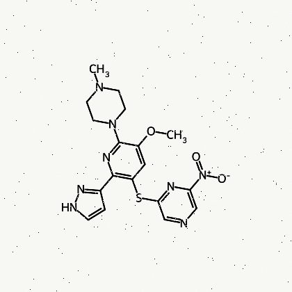 COc1cc(Sc2cncc([N+](=O)[O-])n2)c(-c2cc[nH]n2)nc1N1CCN(C)CC1